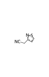 N#CCc1ccsn1